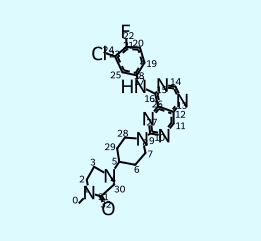 CN1CCN(C2CCN(c3ncc4ncnc(Nc5ccc(F)c(Cl)c5)c4n3)CC2)CC1=O